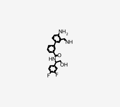 N=Cc1cc(-c2cccc(C(=O)NC(CO)c3ccc(F)c(F)c3)c2)ccc1N